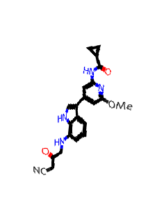 COc1cc(-c2c[nH]c3c(NCC(=O)CC#N)cccc23)cc(NC(=O)C2CC2)n1